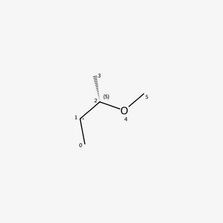 C[CH][C@H](C)OC